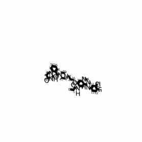 C=CC(=O)Nc1cc2c(Nc3ccc(F)c(Cl)c3)ncnc2cc1OCCCN1CCN(Cc2ccccc2N2CCC(=O)NC2=O)CC1